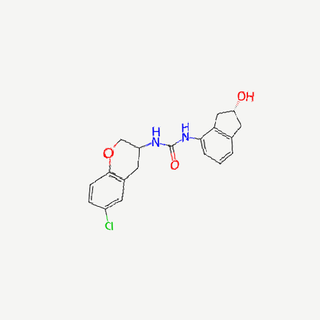 O=C(Nc1cccc2c1C[C@H](O)C2)NC1COc2ccc(Cl)cc2C1